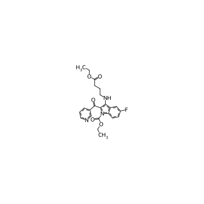 CCOC(=O)CCCNc1c(C(=O)c2cccnc2)n(C(=O)OCC)c2ccc(F)cc12